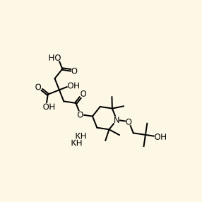 CC(C)(O)CON1C(C)(C)CC(OC(=O)CC(O)(CC(=O)O)C(=O)O)CC1(C)C.[KH].[KH]